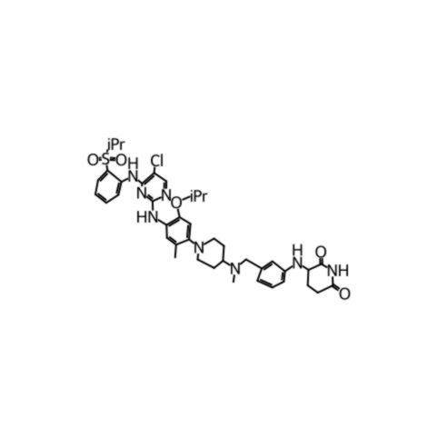 Cc1cc(Nc2ncc(Cl)c(Nc3ccccc3S(=O)(=O)C(C)C)n2)c(OC(C)C)cc1N1CCC(N(C)Cc2cccc(NC3CCC(=O)NC3=O)c2)CC1